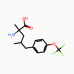 CC(Cc1ccc(OC(F)(F)F)cc1)CC(C)(N)C(=O)O